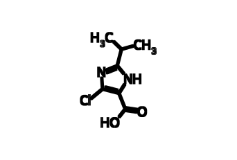 CC(C)c1nc(Cl)c(C(=O)O)[nH]1